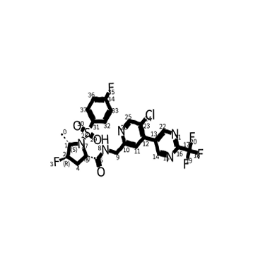 C[C@H]1[C@H](F)C[C@@H](C(=O)NCc2cc(-c3cnc(C(F)(F)F)nc3)c(Cl)cn2)N1S(=O)(=O)c1ccc(F)cc1